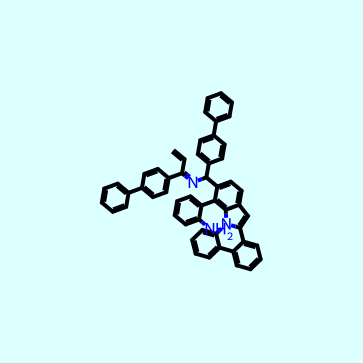 C=C/C(=N\C(c1ccc(-c2ccccc2)cc1)c1ccc2cc3c4ccccc4c4ccccc4n3c2c1-c1ccccc1N)c1ccc(-c2ccccc2)cc1